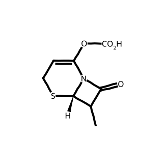 CC1C(=O)N2C(OC(=O)O)=CCS[C@@H]12